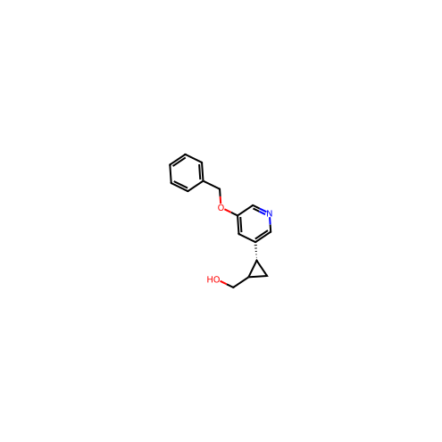 OCC1C[C@H]1c1cncc(OCc2ccccc2)c1